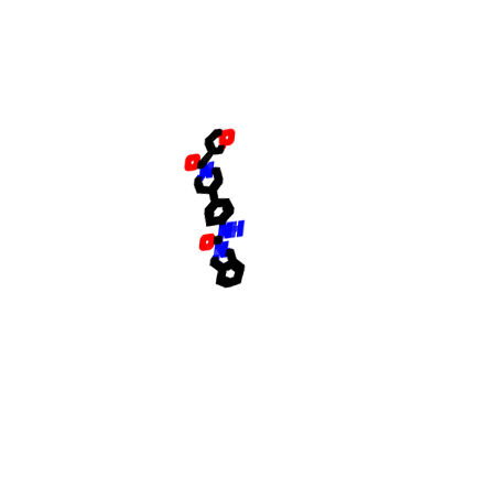 O=C(Nc1ccc(C2=CCN(C(=O)[C@H]3CCOC3)CC2)cc1)N1Cc2ccccc2C1